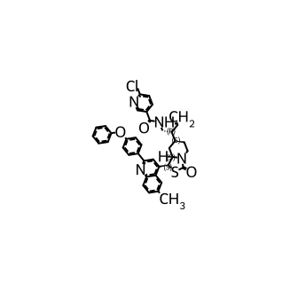 C=C[C@@H](CNC(=O)c1ccc(Cl)nc1)[C@H]1CCN2C(=O)S[C@@H](c3cc(-c4ccc(Oc5ccccc5)cc4)nc4ccc(C)cc34)[C@@H]2C1